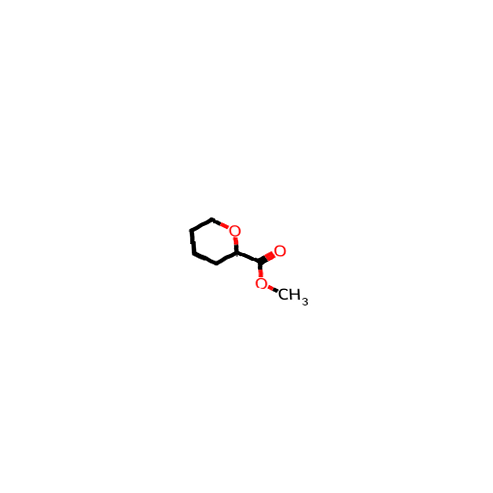 COC(=O)[C]1CCCCO1